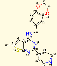 Cc1cc2c(NCc3ccc4c(c3)OCCO4)nc(-c3ccncc3)nc2s1